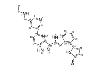 CCNCc1cncc(-c2ccc3[nH]nc(-c4cc5c(-c6ccc(F)s6)cccc5[nH]4)c3n2)c1